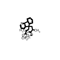 COC(=O)C(C)CC1(CC(C)C(=O)OC)c2ccccc2-c2ncccc21